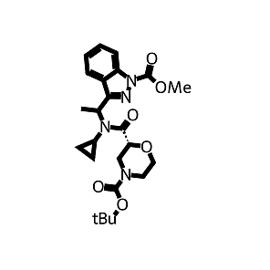 COC(=O)n1nc(C(C)N(C(=O)[C@H]2CN(C(=O)OC(C)(C)C)CCO2)C2CC2)c2ccccc21